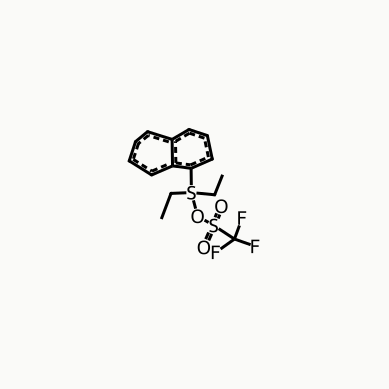 CCS(CC)(OS(=O)(=O)C(F)(F)F)c1cccc2ccccc12